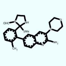 CSC1(c2cccc(C)c2-c2ccc3nc(N)c(N4CCOCC4)cc3c2)NCCN1C=O